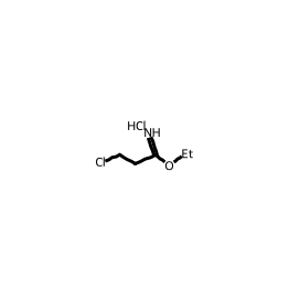 CCOC(=N)CCCl.Cl